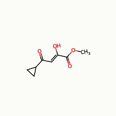 COC(=O)C(O)=CC(=O)C1CC1